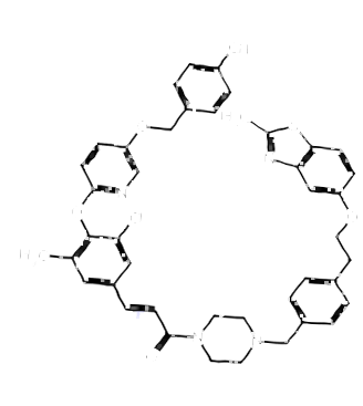 Cc1ccc(COc2ccc(Oc3c(C)cc(/C=C/C(=O)N4CCN(Cc5ccc(CCOc6ccc7sc(C)nc7c6)cc5)CC4)cc3Cl)nc2)cc1